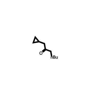 CCCCCC(=O)CC1CC1